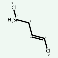 ClC=CC[SiH2]Cl